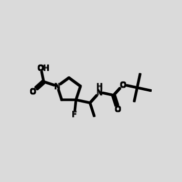 CC(NC(=O)OC(C)(C)C)C1(F)CCN(C(=O)O)C1